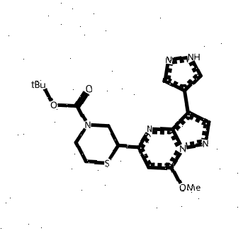 COc1cc(C2CN(C(=O)OC(C)(C)C)CCS2)nc2c(-c3cn[nH]c3)cnn12